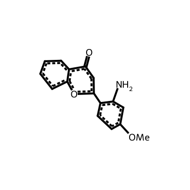 COc1ccc(-c2cc(=O)c3ccccc3o2)c(N)c1